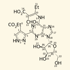 CCOC(=O)c1c[nH]nc1-c1nc(NC(CC)=C(C=O)C(=O)O)c2ncn([C@@H]3O[C@H](CO)[C@@H](O)[C@H]3O)c2n1